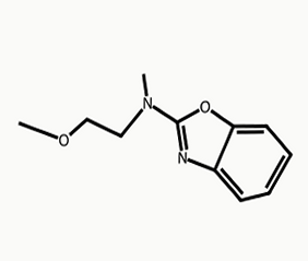 COCCN(C)c1nc2ccccc2o1